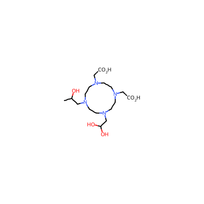 CC(O)CN1CCN(CC(=O)O)CCN(CC(=O)O)CCN(CC(O)O)CC1